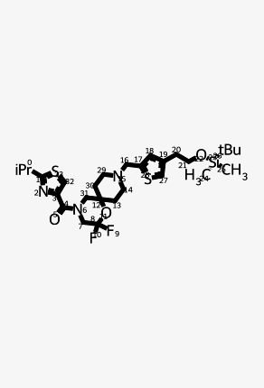 CC(C)c1nc(C(=O)N2CC(F)(F)OC3(CCN(Cc4cc(CCO[Si](C)(C)C(C)(C)C)cs4)CC3)C2)cs1